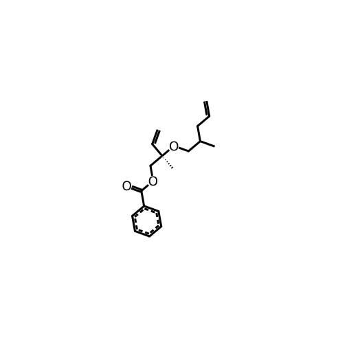 C=CCC(C)CO[C@](C)(C=C)COC(=O)c1ccccc1